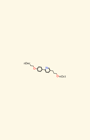 CCCCCCCCCCCCOc1ccc(-c2ccc(CCCOCCCCCCCC)cn2)cc1